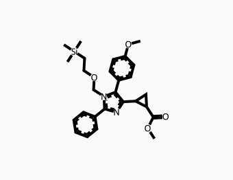 COC(=O)C1CC1c1nc(-c2ccccc2)n(COCC[Si](C)(C)C)c1-c1ccc(OC)cc1